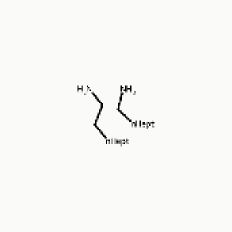 CCCCCCCCCN.CCCCCCCCN